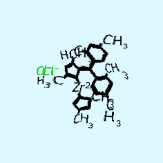 CC1=CC(C)[C]([Zr+2][C]2=C(C)C=C(C)C2=C(c2ccc(C)cc2C)c2ccc(C)cc2C)=C1.[Cl-].[Cl-]